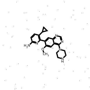 COc1cc2c(N3CCNCC3)ncnc2cc1-c1nc(N)ccc1C1CC1